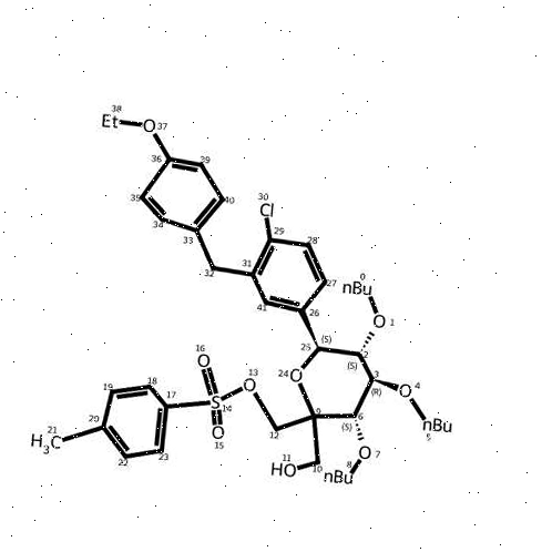 CCCCO[C@@H]1[C@@H](OCCCC)[C@H](OCCCC)C(CO)(COS(=O)(=O)c2ccc(C)cc2)O[C@H]1c1ccc(Cl)c(Cc2ccc(OCC)cc2)c1